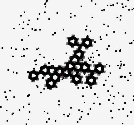 c1ccc(-c2ccc3c(c2)B2c4ccccc4Oc4cc(-c5cc6c7c(c5)N(c5ccccc5-c5ccccc5)c5cc(N(c8ccccc8)c8ccccc8)ccc5B7c5ccc(N(c7ccccc7)c7ccccc7)cc5O6)cc(c42)O3)cc1